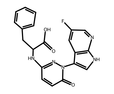 O=C(O)C(Cc1ccccc1)Nc1ccc(=O)n(-c2c[nH]c3ncc(F)cc23)n1